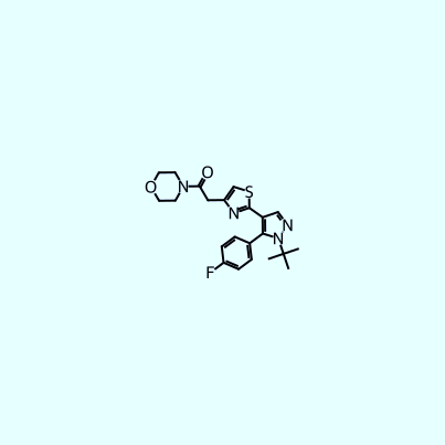 CC(C)(C)n1ncc(-c2nc(CC(=O)N3CCOCC3)cs2)c1-c1ccc(F)cc1